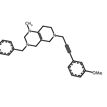 COc1cccc(C#CCN2CCC3=C(C2)CN(Cc2ccccc2)CN3C)c1